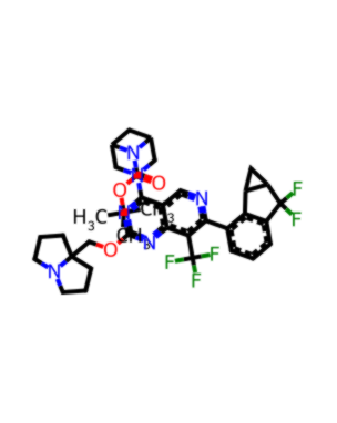 CC(C)(C)OC(=O)N1C2CC1CN(c1nc(OCC34CCCN3CCC4)nc3c(C(F)(F)F)c(-c4cccc5c4C4CC4C5(F)F)ncc13)C2